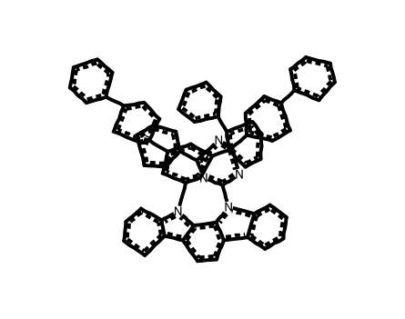 c1ccc(-c2ccc(-c3cc(-c4ccccc4-c4ccccc4)cc(-n4c5ccccc5c5ccc6c7ccccc7n(-c7nc(-c8ccccc8)nc(-c8ccc(-c9ccccc9)cc8)n7)c6c54)c3)cc2)cc1